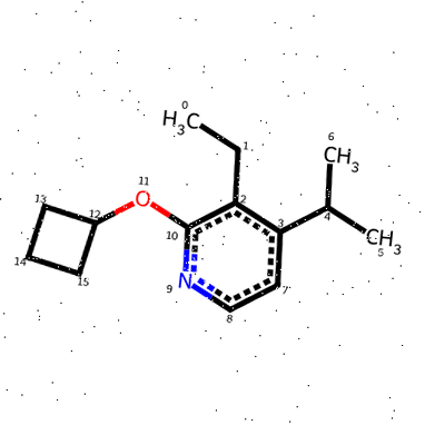 CCc1c(C(C)C)ccnc1OC1CCC1